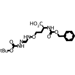 CC(C)(C)OC(=O)NN=CNOCC[C@H](NC(=O)OCc1ccccc1)C(=O)O